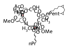 CCCC=CC=CC(=O)O[C@H]1C(=CC(=O)OC)C[C@H]2C[C@H]([C@@H](C)OC(=O)CCCCCCCC3CC3CC3CC3CCCCC)OC(=O)C[C@H](O)CC3C[C@H](OC(C)=O)C(C)(C)[C@](O)(C[C@@H]4CC(=CC(=O)OC)C[C@H](C=CC(C)(C)[C@]1(O)O2)O4)O3